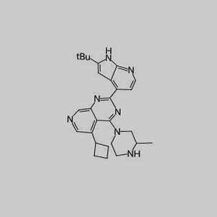 CC1CN(c2nc(-c3ccnc4[nH]c(C(C)(C)C)cc34)nc3cncc(C4CCC4)c23)CCN1